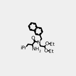 CCOC(CN(Cc1ccc2ccccc2c1)C(=O)C(N)CC(C)C)OCC